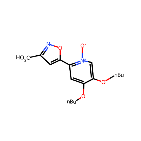 CCCCOc1cc(-c2cc(C(=O)O)no2)[n+]([O-])cc1OCCCC